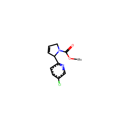 CC(C)(C)OC(=O)N1CC=CC1c1ccc(Cl)cn1